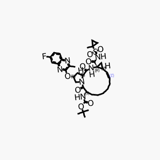 Cc1nc2ccc(F)cc2nc1O[C@@H]1C[C@H]2C(=O)N[C@]3(C(=O)NS(=O)(=O)C4(C)CC4)C[C@H]3/C=C\CCCCC[C@H](NC(=O)OC(C)(C)C)C(=O)N2C1